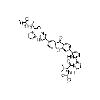 COC(=O)N[C@@H](C)C(=O)N1CCC[C@H]1c1ncc(-c2ccc3oc4cc(-c5cnc([C@@H]6CCCN6C(=O)[C@@H](NC(=O)OC)C(C)C)[nH]5)ccc4c(=O)c3c2)[nH]1